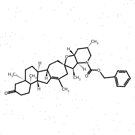 CC1=C2C[C@H]3[C@@H](CC[C@]4(C)CC(=O)CC[C@]34C)[C@@H]2CC[C@@]2(C1)O[C@@H]1C[C@H](C)CN(C(=O)OCc3ccccc3)[C@H]1[C@H]2C